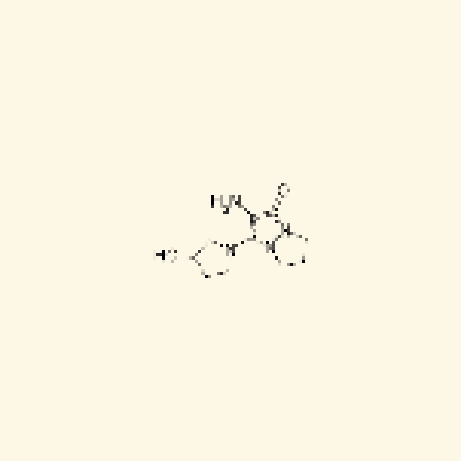 Nc1c(N2CCC(O)C2)n2n(c1=O)CCC2